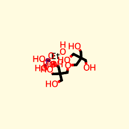 CCO.O=P(O)(O)O.OCC(CO)(CO)COCC(CO)(CO)CO